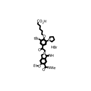 Br.CCOc1cc2c(cc1C(=O)NC)C(=N)N(CC(=O)c1cc(N3CCCC3)c(OCCCCCC(=O)O)c(C(C)(C)C)c1)C2